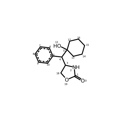 O=C1NC(C(c2ccccc2)C2(O)CCCCC2)CO1